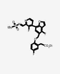 CCOC(=O)Cc1cc(F)ccc1OCc1cc(-c2ccnc(C=NS(=O)(=O)C(C)(C)C)c2F)c2occc2c1F